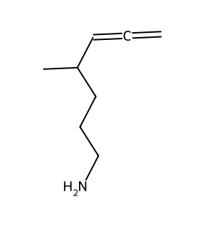 C=C=CC(C)CCCN